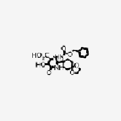 O=C(NC1(c2nc(C(=O)O)c(O)c(=O)[nH]2)CCC2(CC1)OCCO2)OCc1ccccc1